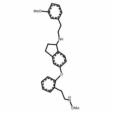 CONCCc1ccccc1Oc1ccc2c(c1)CCC2NCCc1cccc(OC)c1